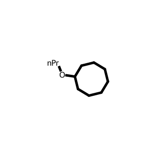 CCCOC1CCCCCCC1